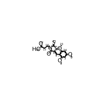 COc1cc(OC)c(/C=C2\SC(=S)N(CCC(=O)O)C2=O)c(OC)c1